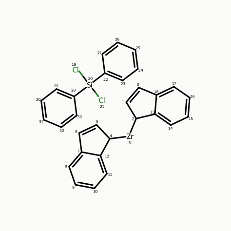 C1=C[CH]([Zr][CH]2C=Cc3ccccc32)c2ccccc21.Cl[Si](Cl)(c1ccccc1)c1ccccc1